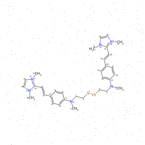 CN(CCSSCCN(C)c1ccc(/C=C/c2n(C)cc[n+]2C)cc1)c1ccc(/C=C/c2n(C)cc[n+]2C)cc1